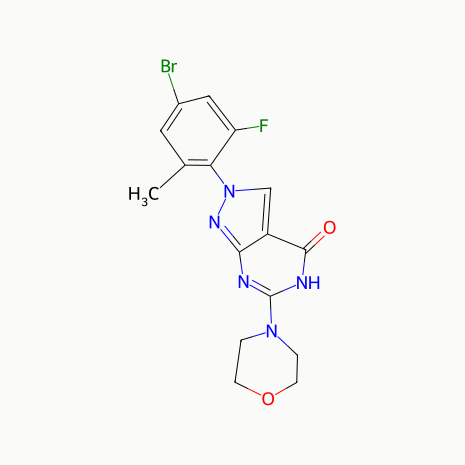 Cc1cc(Br)cc(F)c1-n1cc2c(=O)[nH]c(N3CCOCC3)nc2n1